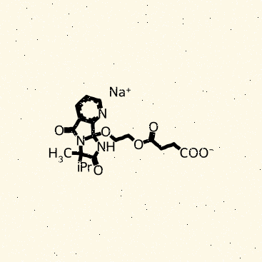 CC(C)C1(C)C(=O)NC2(OCCOC(=O)CCC(=O)[O-])c3ncccc3C(=O)N21.[Na+]